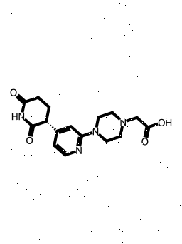 O=C(O)CN1CCN(c2cc([C@H]3CCC(=O)NC3=O)ccn2)CC1